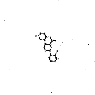 CN(C)c1nc(-c2ccccc2F)ncc1-c1cccnc1